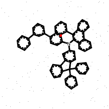 c1ccc(-c2cccc(-c3ccc(N(c4ccc5c(c4)-c4ccccc4C5(c4ccccc4)c4ccccc4)c4c(-c5ccccc5)c5ccccc5c5ccccc45)cc3)c2)cc1